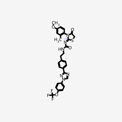 COc1ccc(N2C(=O)CS/C2=N\C(=O)NCCc2ccc(-c3ncn(-c4ccc(OC(F)(F)F)cc4)n3)cc2)c(C)c1